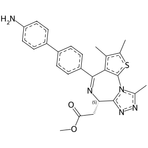 COC(=O)C[C@@H]1N=C(c2ccc(-c3ccc(N)cc3)cc2)c2c(sc(C)c2C)-n2c(C)nnc21